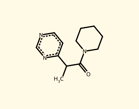 CC(C(=O)N1CCCCC1)c1ccncn1